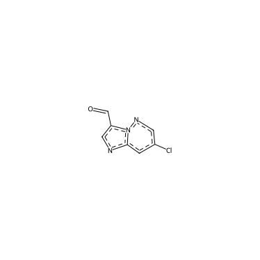 O=Cc1cnc2cc(Cl)cnn12